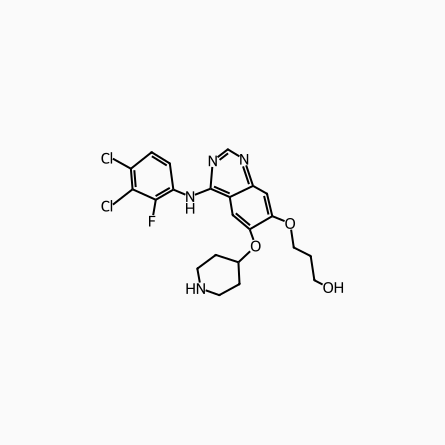 OCCCOc1cc2ncnc(Nc3ccc(Cl)c(Cl)c3F)c2cc1OC1CCNCC1